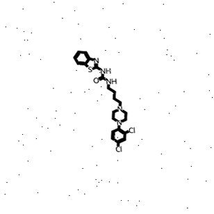 O=C(NCCCCN1CCN(c2ccc(Cl)cc2Cl)CC1)Nc1nc2ccccc2s1